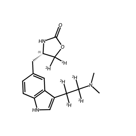 [2H]C1([2H])OC(=O)N[C@H]1Cc1ccc2[nH]cc(C([2H])([2H])C([2H])([2H])N(C)C)c2c1